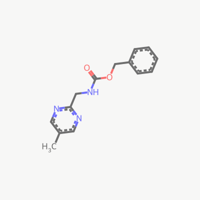 Cc1cnc(CNC(=O)OCc2ccccc2)nc1